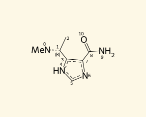 CN[C@H](C)c1[nH]cnc1C(N)=O